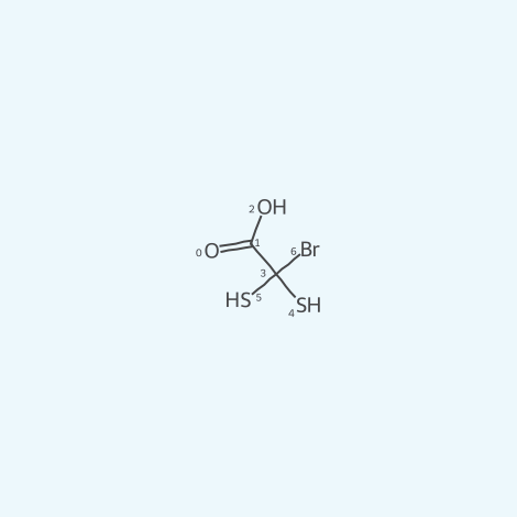 O=C(O)C(S)(S)Br